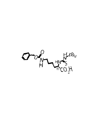 CC(C)(C)NC(=S)N[C@H](CCCCNC(=O)OCc1ccccc1)C(=O)O